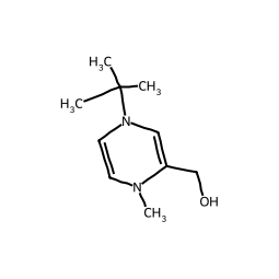 CN1C=CN(C(C)(C)C)C=C1CO